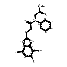 COC(=O)CN(C(=O)CCc1nc2c(F)c(F)cc(F)c2s1)c1ccccc1